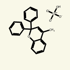 CC1=CC(c2ccccc2)(c2ccccc2)Oc2ccccc21.[O-][Cl+3]([O-])([O-])O